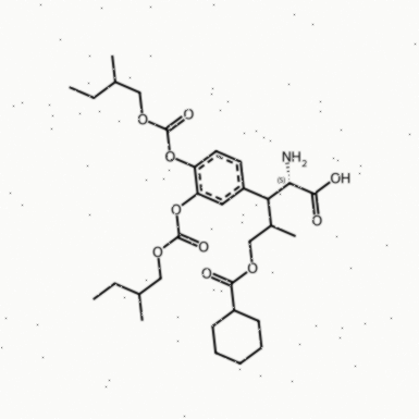 CCC(C)COC(=O)Oc1ccc(C(C(C)COC(=O)C2CCCCC2)[C@H](N)C(=O)O)cc1OC(=O)OCC(C)CC